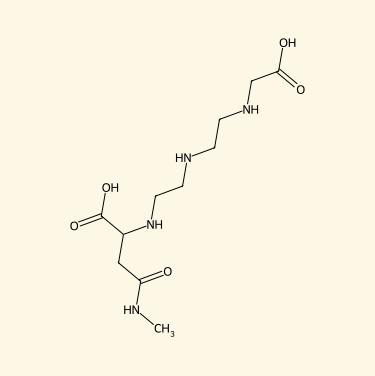 CNC(=O)CC(NCCNCCNCC(=O)O)C(=O)O